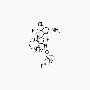 CN1CCCOc2nc(-c3cc(N)cc(Cl)c3C(F)(F)F)c(F)c3nc(OC[C@@]45CCCN4C[C@H](F)C5)nc1c23